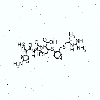 CC(CSCc1cnccc1SC1=C(C(=O)O)N2C(=O)[C@@H](NC(=O)/C(=N\O)c3csc(N)n3)[C@@H]2SC1)NC(=N)N